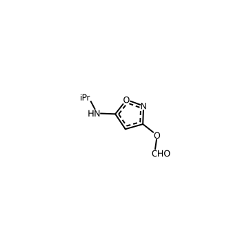 CC(C)Nc1cc(OC=O)no1